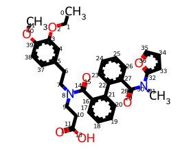 CCOc1cc(CCN(CCC(=O)O)C(=O)c2ccccc2-c2ccccc2C(=O)N(C)c2ccco2)ccc1OC